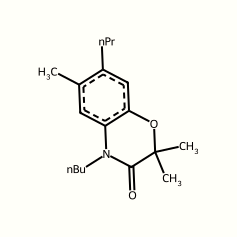 CCCCN1C(=O)C(C)(C)Oc2cc(CCC)c(C)cc21